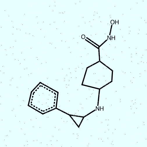 O=C(NO)C1CCC(NC2CC2c2ccccc2)CC1